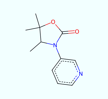 CC1N(c2cccnc2)C(=O)OC1(C)C